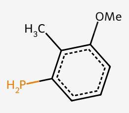 COc1cccc(P)c1C